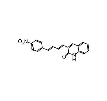 O=c1[nH]c2ccccc2cc1/C=C/C=C/c1ccc([N+](=O)[O-])nc1